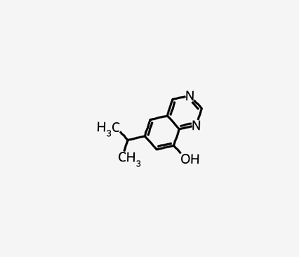 CC(C)c1cc(O)c2ncncc2c1